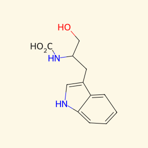 O=C(O)NC(CO)Cc1c[nH]c2ccccc12